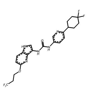 O=C(Nc1ccc(C2CCC(F)(F)CC2)nc1)Nc1c[nH]c2ccc(OCCC(F)(F)F)nc12